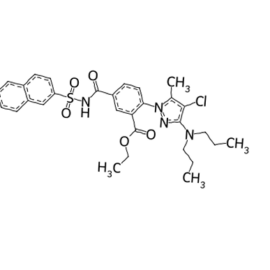 CCCN(CCC)c1nn(-c2ccc(C(=O)NS(=O)(=O)c3ccc4ccccc4c3)cc2C(=O)OCC)c(C)c1Cl